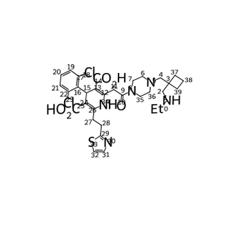 CCNCC1(CN2CCN(C(=O)CC3=C(C(=O)O)C(c4c(Cl)cccc4Cl)C(C(=O)O)=C(CCc4nccs4)N3)CC2)CCC1